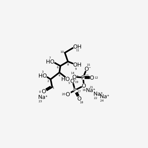 O=CC(O)C(O)C(O)C(O)CO.O=P([O-])([O-])OP(=O)([O-])[O-].[Na+].[Na+].[Na+].[Na+]